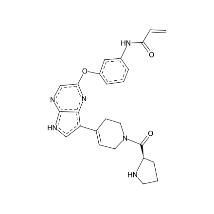 C=CC(=O)Nc1cccc(Oc2cnc3[nH]cc(C4=CCN(C(=O)[C@H]5CCCN5)CC4)c3n2)c1